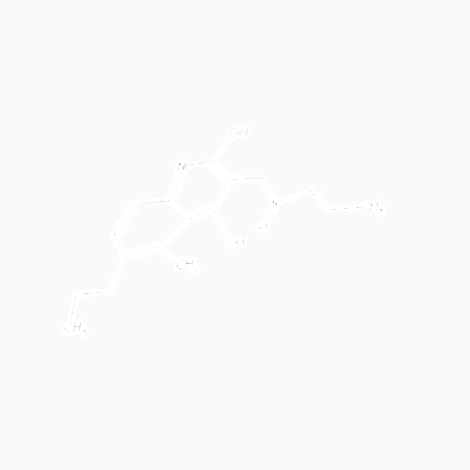 CCCc1ccc2nc(O)c(CC(=O)OCC)c(O)c2c1C